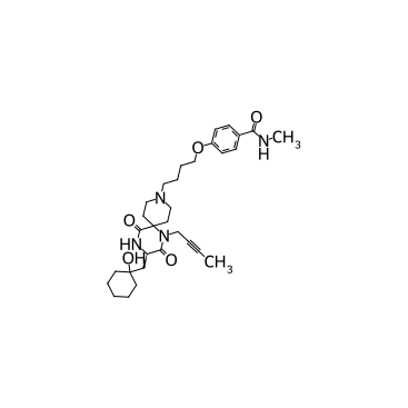 CC#CCN1C(=O)[C@@H](CC2(O)CCCCC2)NC(=O)C12CCN(CCCCOc1ccc(C(=O)NC)cc1)CC2